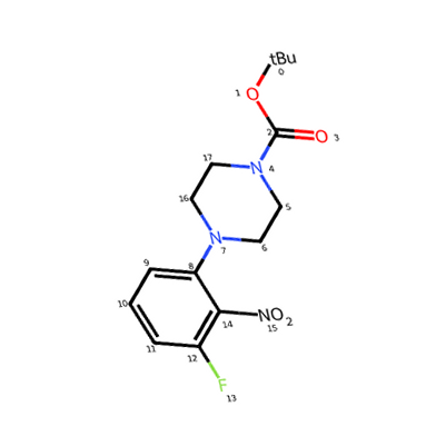 CC(C)(C)OC(=O)N1CCN(c2cccc(F)c2[N+](=O)[O-])CC1